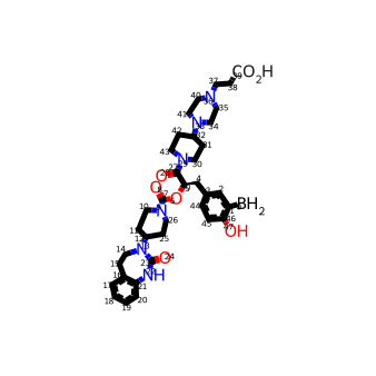 Bc1cc(C[C@@H](OC(=O)N2CCC(N3CCc4ccccc4NC3=O)CC2)C(=O)N2CCC(N3CCN(CCC(=O)O)CC3)CC2)ccc1O